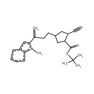 C=C(CCC1CB(C#N)C(C(=O)OC(C)(C)C)C1)c1cc2ccccc2n1C